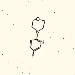 Fc1ccc(N2CCOCC2)nc1